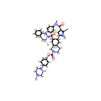 Cc1c(C(=O)N(C)c2ccccc2)cc(-c2cc3c(cc2C(=O)N2Cc4ccccc4C[C@H]2C)CN(C(=O)Oc2ccc(N4CCN(C)CC4)cc2)CC3)n1C